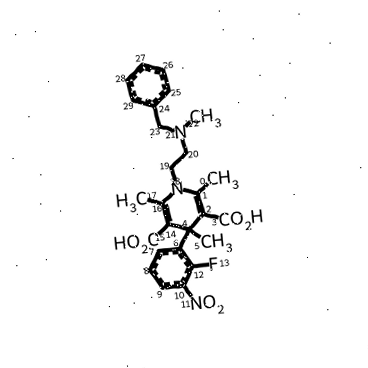 CC1=C(C(=O)O)C(C)(c2cccc([N+](=O)[O-])c2F)C(C(=O)O)=C(C)N1CCN(C)Cc1ccccc1